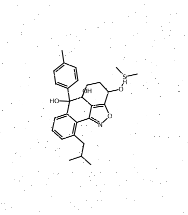 Cc1ccc(C2(O)c3cccc(CC(C)C)c3-c3noc4c3C2(O)CCC4O[SiH](C)C)cc1